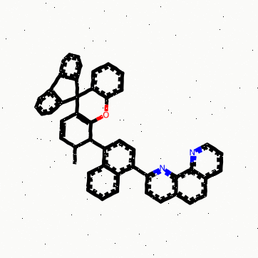 CC1C=CC2=C(Oc3ccccc3C23c2ccccc2-c2ccccc23)C1c1ccc(-c2ccc3ccc4cccnc4c3n2)c2ccccc12